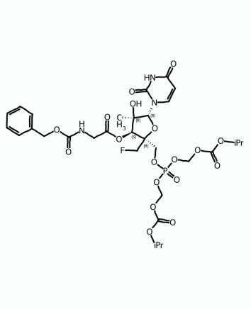 CC(C)OC(=O)OCOP(=O)(OCOC(=O)OC(C)C)OC[C@@]1(CF)O[C@@H](n2ccc(=O)[nH]c2=O)[C@](C)(O)[C@@H]1OC(=O)CNC(=O)OCc1ccccc1